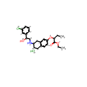 CCOC(=O)C(CC)Oc1ccc2c(c1)CC(NCC(O)c1cccc(Cl)c1)CC2.Cl